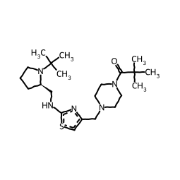 CC(C)(C)C(=O)N1CCN(Cc2csc(NC[C@H]3CCCN3C(C)(C)C)n2)CC1